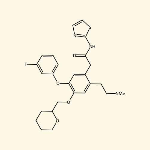 CNCCc1cc(OCC2CCCCO2)c(Oc2cccc(F)c2)cc1CC(=O)Nc1nccs1